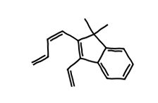 C=C/C=C\C1=C(C=C)c2ccccc2C1(C)C